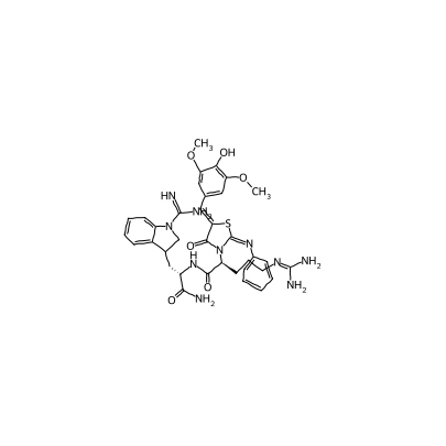 COc1cc(/C=C2\S/C(=N/c3ccccc3)N([C@@H](CCCN=C(N)N)C(=O)N[C@@H](CC3CN(C(=N)N)c4ccccc43)C(N)=O)C2=O)cc(OC)c1O